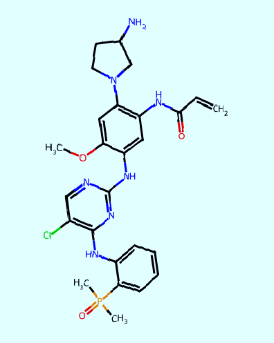 C=CC(=O)Nc1cc(Nc2ncc(Cl)c(Nc3ccccc3P(C)(C)=O)n2)c(OC)cc1N1CCC(N)C1